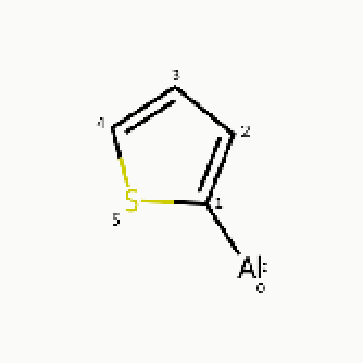 [Al][c]1cccs1